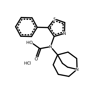 Cl.O=C(O)N(c1ncsc1-c1ccccc1)C12CCCN(CC1)CC2